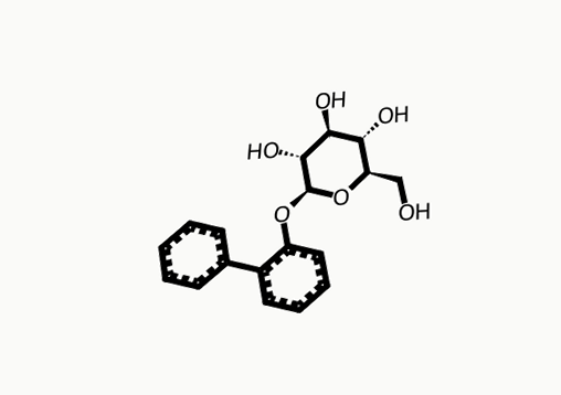 OC[C@H]1O[C@@H](Oc2ccccc2-c2ccccc2)[C@H](O)[C@@H](O)[C@@H]1O